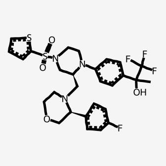 CC(O)(c1ccc(N2CCN(S(=O)(=O)c3cccs3)C[C@@H]2CN2CCOC[C@@H]2c2ccc(F)cc2)cc1)C(F)(F)F